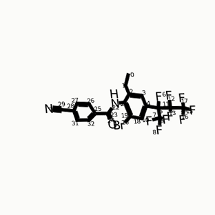 CCc1cc(C(F)(C(F)(F)F)C(F)(F)C(F)(F)F)cc(Br)c1NC(=O)c1ccc(C#N)cc1